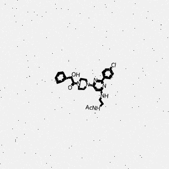 CC(=O)NCCNc1cc(N2CCN(C(=O)C(O)c3ccccc3)CC2)nc(-c2ccc(Cl)cc2)n1